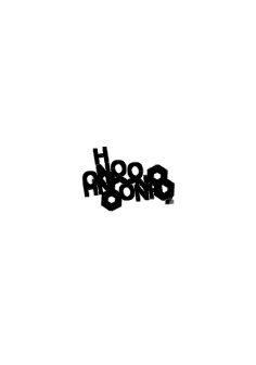 NN(C(=O)C1CC2(NC(=O)NC2=O)c2ccccc2O1)c1cccc2ccccc12